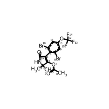 CC(=O)OC1=C(c2c(Br)cc(OC(F)(F)F)cc2Br)C(=O)NC1(C)C